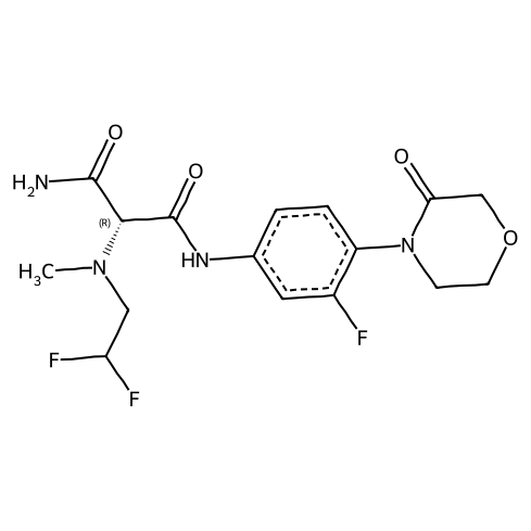 CN(CC(F)F)[C@H](C(N)=O)C(=O)Nc1ccc(N2CCOCC2=O)c(F)c1